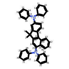 CC1(C)c2cc(N(c3ccccc3)c3ccccc3)ccc2-c2c1cc(N(c1ccccc1)c1ccccc1)c1ccccc21